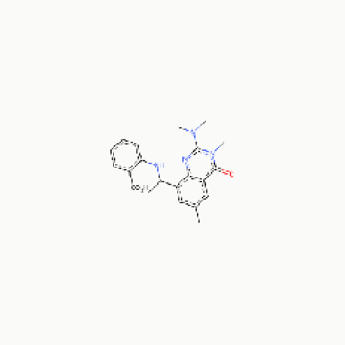 Cc1cc(C(C)Nc2ccccc2C(=O)O)c2nc(N(C)C)n(C)c(=O)c2c1